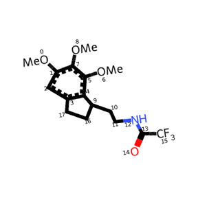 COc1cc2c(c(OC)c1OC)C(CCNC(=O)C(F)(F)F)CC2